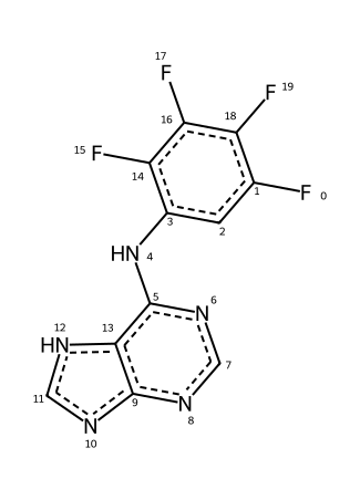 Fc1cc(Nc2ncnc3nc[nH]c23)c(F)c(F)c1F